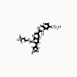 Cc1ncc(C(=O)O)cc1NC(=O)c1cnc2c(c1)cc(-c1cnn(C)c1)n2COCC[Si](C)(C)C